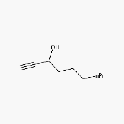 C#CC(O)CCCCCC